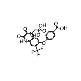 O=C(O)c1ccc(Oc2cc3c(cc2C(F)(F)F)[nH]c(=O)c(=O)n3CP(=O)(O)O)cc1